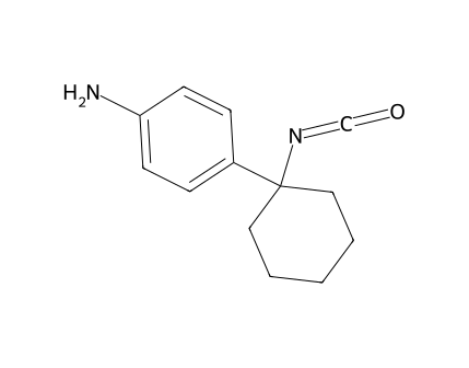 Nc1ccc(C2(N=C=O)CCCCC2)cc1